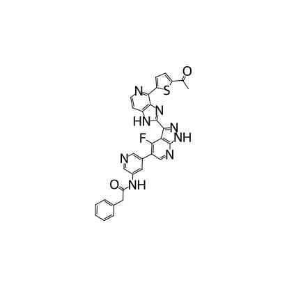 CC(=O)c1ccc(-c2nccc3[nH]c(-c4n[nH]c5ncc(-c6cncc(NC(=O)Cc7ccccc7)c6)c(F)c45)nc23)s1